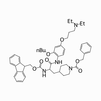 CCCCOc1cc(OCCCN(CC)CC)ccc1NC(=O)C(CC1CCN(C(=O)OCc2ccccc2)CC1)NC(=O)OCC1c2ccccc2-c2ccccc21